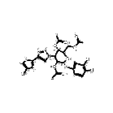 CC(=O)OCC1O[C@H](Sc2ccc(Cl)c(Cl)c2)C(OC(C)=O)C(n2cc(-c3nc(Cl)cs3)nn2)[C@H]1OC(C)=O